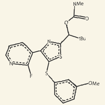 CNC(=O)OC(c1nc(-c2cccnc2F)c(Sc2cccc(OC)c2)s1)C(C)(C)C